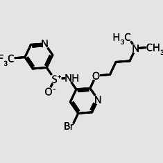 CN(C)CCCOc1ncc(Br)cc1N[S+]([O-])c1cncc(C(F)(F)F)c1